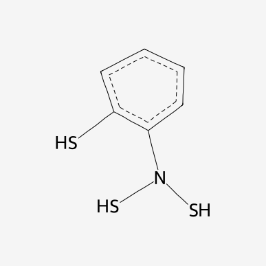 Sc1ccccc1N(S)S